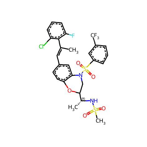 CC(=Cc1ccc2c(c1)N(S(=O)(=O)c1cccc(C(F)(F)F)c1)CC([C@@H](C)NS(C)(=O)=O)O2)c1c(F)cccc1Cl